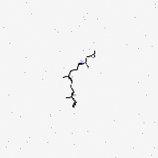 C=C/C(C)=C/C/C=C(\C)CC/C=C(\C)COC